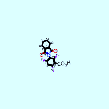 O=C(O)c1c(I)cc(I)c(N2C(=O)C3=C(CCCC3)C2=O)c1I